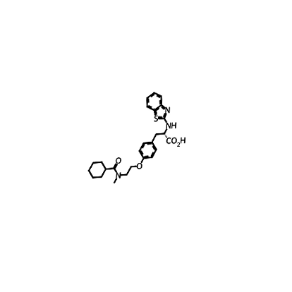 CN(CCOc1ccc(C[C@H](Nc2nc3ccccc3s2)C(=O)O)cc1)C(=O)C1CCCCC1